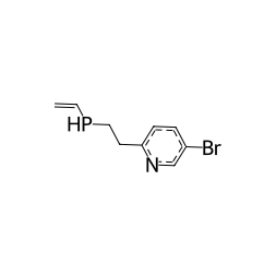 C=CPCCc1ccc(Br)cn1